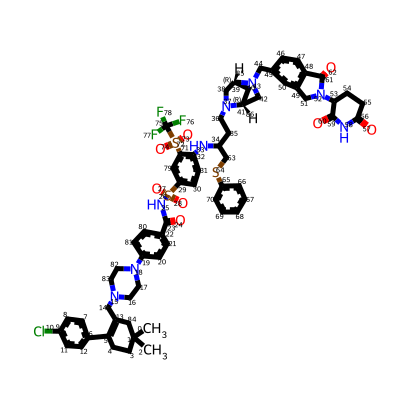 CC1(C)CCC(c2ccc(Cl)cc2)=C(CN2CCN(c3ccc(C(=O)NS(=O)(=O)c4ccc(NC(CCN5C[C@H]6C[C@@H]5CN6Cc5ccc6c(c5)CN(C5CCC(=O)NC5=O)C6=O)CSc5ccccc5)c(S(=O)(=O)C(F)(F)F)c4)cc3)CC2)C1